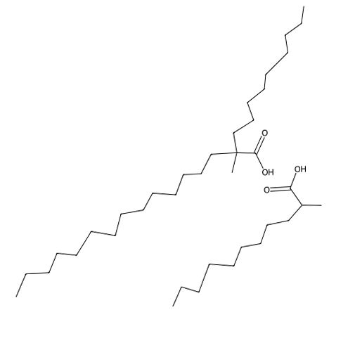 CCCCCCCCCC(C)C(=O)O.CCCCCCCCCCCCCCC(C)(CCCCCCCCC)C(=O)O